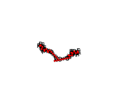 CCCC(COCCCCCCOc1ccc(-c2cc(F)c(C(F)(F)Oc3cc(F)c(F)c(F)c3)c(F)c2)cc1)COCCCCCCOc1ccc(-c2cc(F)c(C(F)(F)Oc3cc(F)c(F)c(F)c3)c(F)c2)cc1